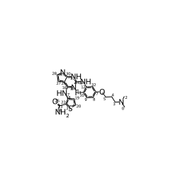 CN(C)CCCOc1ccc(F)c(Nc2nc(Nc3ccsc3C(N)=O)c3ccnc-3[nH]2)c1